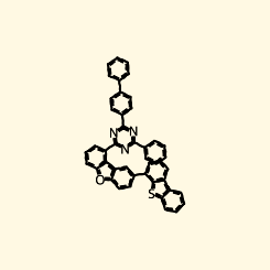 c1ccc(-c2ccc(-c3nc(-c4ccccc4)nc(-c4cccc5oc6ccc(-c7cccc8c7sc7ccccc78)cc6c45)n3)cc2)cc1